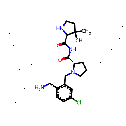 CC1(C)CCN[C@@H]1C(=O)NC(=O)[C@@H]1CCCN1Cc1cc(Cl)ccc1CN